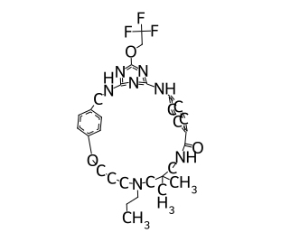 CCCN1CCCOc2ccc(cc2)CNc2nc(nc(OCC(F)(F)F)n2)Nc2ccc(cc2)C(=O)NCC(C)(C)C1